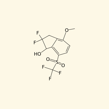 COc1ccc(S(=O)(=O)C(F)(F)F)c2c1CC(F)(F)C2O